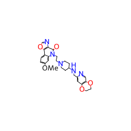 COc1ccc2c3ocnc3c(=O)n(CCN3CCC(NCc4cc5c(cn4)OCCO5)CC3)c2c1